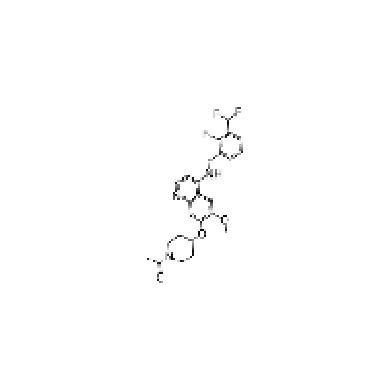 COc1cc2c(NCc3cccc(C(F)F)c3F)ccnc2cc1OC1CCN(C(C)=O)CC1